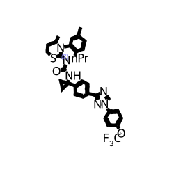 CCCc1ccc(C)cc1N1/C(=N/C(=O)NC2(c3ccc(-c4ncn(-c5ccc(OC(F)(F)F)cc5)n4)cc3)CC2)SCCC1C